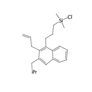 C=CCc1c(CC(C)C)cc2ccccc2c1CCC[Si](C)(C)Cl